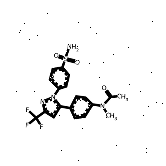 CC(=O)N(C)c1ccc(-c2cc(C(F)(F)F)nn2-c2ccc(S(N)(=O)=O)cc2)cc1